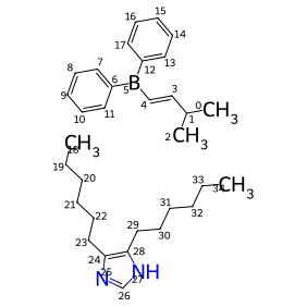 CC(C)C=CB(c1ccccc1)c1ccccc1.CCCCCCc1nc[nH]c1CCCCCC